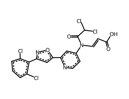 O=C(O)C=CN(C(=O)C(Cl)Cl)c1ccnc(-c2cc(-c3c(Cl)cccc3Cl)no2)c1